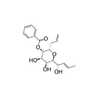 C=CC[C@@H]1O[C@@H]([C@@H](O)/C=C/C)[C@@H](O)[C@@H](O)[C@H]1OC(=O)c1ccccc1